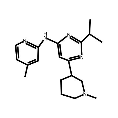 Cc1ccnc(Nc2cc(C3CCCN(C)C3)nc(C(C)C)n2)c1